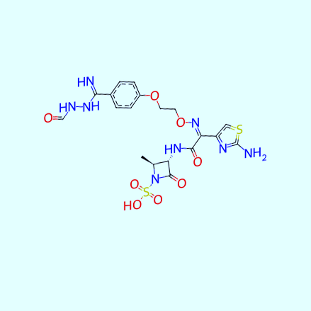 C[C@H]1[C@H](NC(=O)/C(=N\OCCOc2ccc(C(=N)NNC=O)cc2)c2csc(N)n2)C(=O)N1S(=O)(=O)O